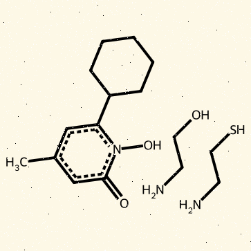 Cc1cc(C2CCCCC2)n(O)c(=O)c1.NCCO.NCCS